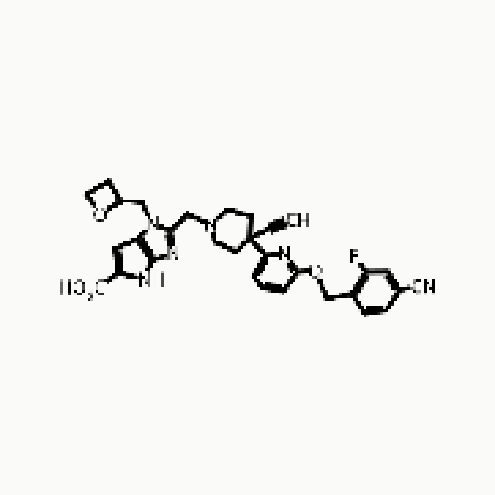 C#CC1(c2cccc(OCc3ccc(C#N)cc3F)n2)CCN(Cc2nc3[nH]c(C(=O)O)cc3n2C[C@@H]2CCO2)CC1